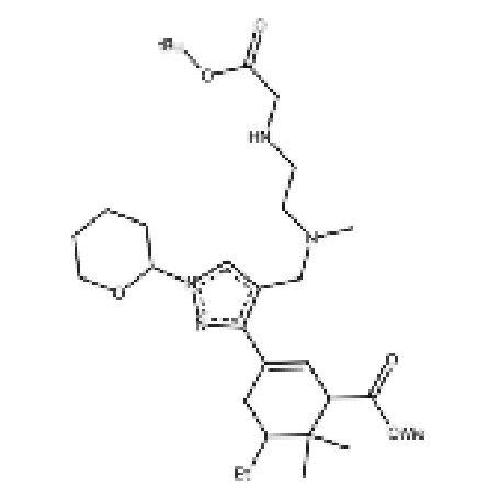 CCC1CC(c2nn(C3CCCCO3)cc2CN(C)CCNCC(=O)OC(C)(C)C)=CC(C(=O)OC)C1(C)C